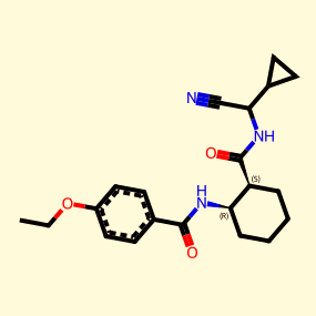 CCOc1ccc(C(=O)N[C@@H]2CCCC[C@@H]2C(=O)NC(C#N)C2CC2)cc1